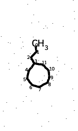 CC[CH]C1CCCCCCCC1